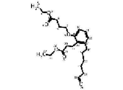 CCOC(=O)CCCOc1cccc(CCCCCC=O)c1CCC(=O)OCC